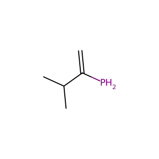 C=C(P)C(C)C